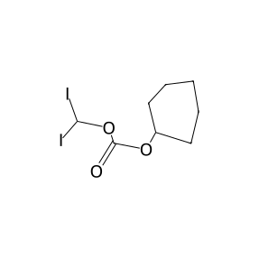 O=C(OC(I)I)OC1CCCCC1